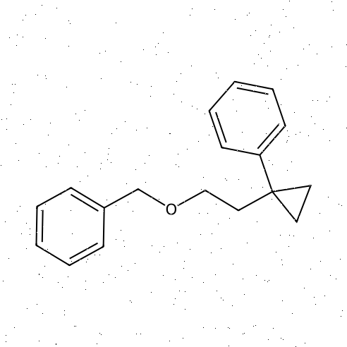 c1ccc(COCCC2(c3ccccc3)CC2)cc1